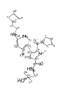 C[C@H]1CCCN1C(=O)c1nc(C(=O)NCC(C)(C)O)sc1-c1cnc(NCCC2CCC2)cc1C(F)(F)F